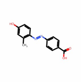 Cc1cc(O)ccc1N=Nc1ccc(C(=O)O)cc1